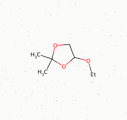 CCOC1COC(C)(C)O1